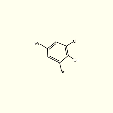 CCCc1cc(Cl)c(O)c(Br)c1